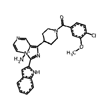 COc1cc(C(=O)N2CCC(C3=C4C=NC=C[N+]4(N)C(c4cc5ccccc5[nH]4)=N3)CC2)ccc1Cl